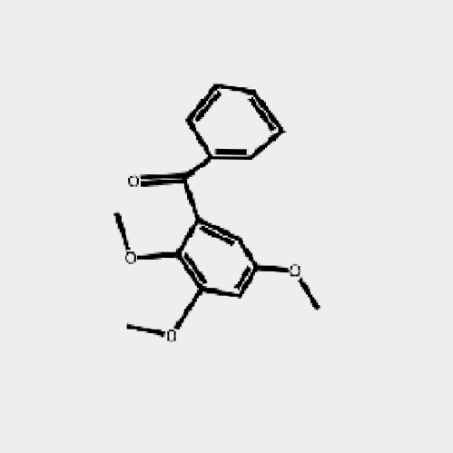 COc1cc(OC)c(OC)c(C(=O)c2ccccc2)c1